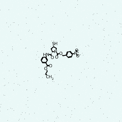 C=CCOC(=O)c1cccc(NC(=O)[C@@H]2C[C@H](S)CN2C(=O)OCc2ccc([N+](=O)[O-])cc2)c1